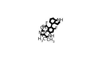 Cc1nnc2n1-c1c(cc(F)c(-c3cccc4[nH]ccc34)c1C(F)F)NC2(C)C